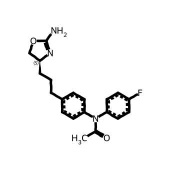 CC(=O)N(c1ccc(F)cc1)c1ccc(CCC[C@H]2COC(N)=N2)cc1